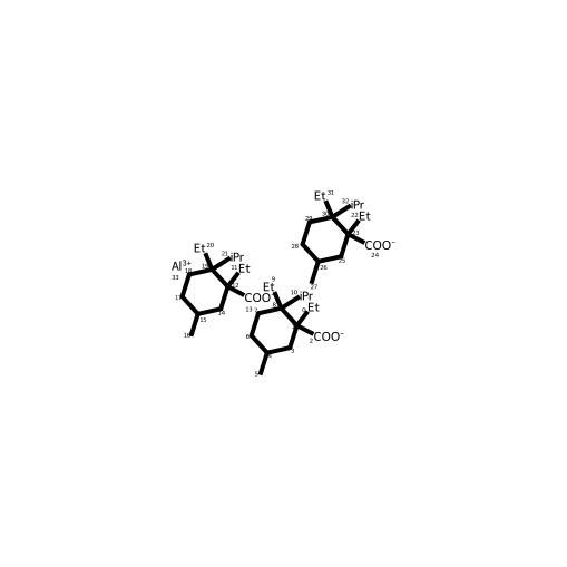 CCC1(C(=O)[O-])CC(C)CCC1(CC)C(C)C.CCC1(C(=O)[O-])CC(C)CCC1(CC)C(C)C.CCC1(C(=O)[O-])CC(C)CCC1(CC)C(C)C.[Al+3]